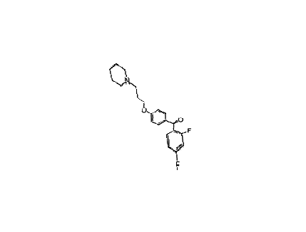 O=C(c1ccc(OCCCN2CCCCC2)cc1)c1ccc(F)cc1F